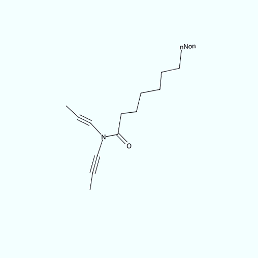 CC#CN(C#CC)C(=O)CCCCCCCCCCCCCCC